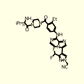 CCc1cc(Nc2nccn3c(-c4cn(CC#N)nc4C(F)F)cnc23)ccc1C(=O)N1CCN(C(=O)[C@H](N)C(C)C)CC1